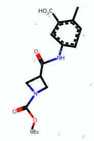 Cc1ccc(NC(=O)C2CN(C(=O)OC(C)(C)C)C2)cc1C(=O)O